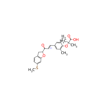 CSc1ccc2c(c1)OC(C(=O)/C=C/c1cc(C)c(OC(C)(C)C(=O)O)c(C)c1)C2